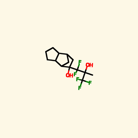 CC(O)(C(F)(F)F)C(F)(F)C1(O)CC2CC1C1CCCC21